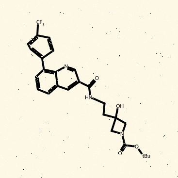 CC(C)(C)OC(=O)N1CC(O)(CCNC(=O)c2cnc3c(-c4ccc(C(F)(F)F)cc4)cccc3c2)C1